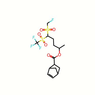 CC(CCC(S(=O)(=O)CF)S(=O)(=O)C(F)(F)F)OC(=O)C1CC2C=CC1C2